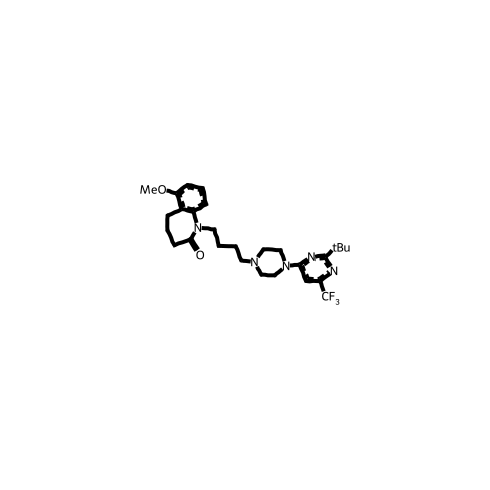 COc1cccc2c1CCCC(=O)N2CCCCN1CCN(c2cc(C(F)(F)F)nc(C(C)(C)C)n2)CC1